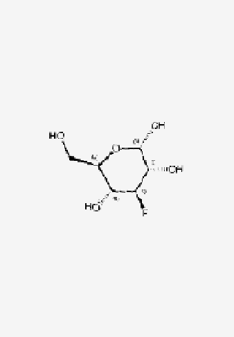 OC[C@H]1O[C@H](O)[C@H](O)[C@@H](F)[C@@H]1O